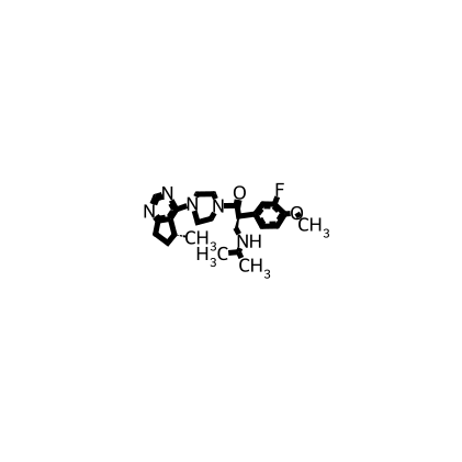 COc1ccc([C@@H](CNC(C)C)C(=O)N2CCN(c3ncnc4c3[C@H](C)CC4)CC2)cc1F